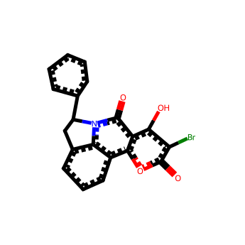 O=c1oc2c(c(O)c1Br)c(=O)n1c3c(cccc23)CC1c1ccccc1